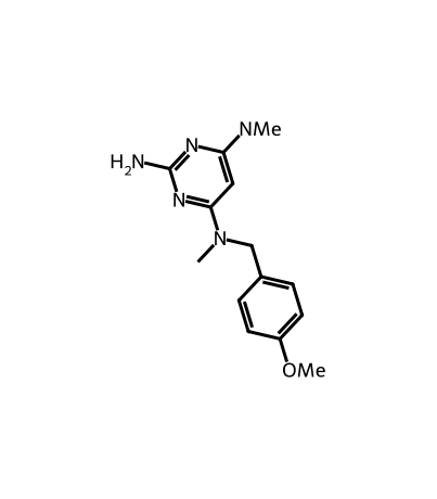 CNc1cc(N(C)Cc2ccc(OC)cc2)nc(N)n1